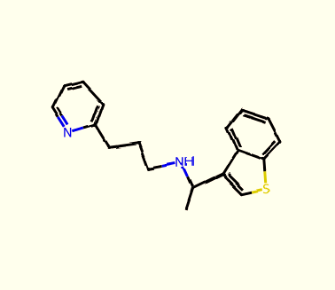 CC(NCCCc1ccccn1)c1csc2ccccc12